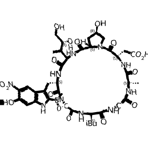 CC[C@H](C)C1NC(=O)CNC(=O)[C@H](Cc2c([S+](C)[O-])[nH]c3cc(O)c([N+](=O)[O-])cc23)NC(=O)C(C(C)[C@@H](O)CO)NC(=O)[C@@H]2C[C@@H](O)CN2C(=O)[C@H](CC(=O)O)NC(=O)[C@H](C)NC(=O)CNC1=O